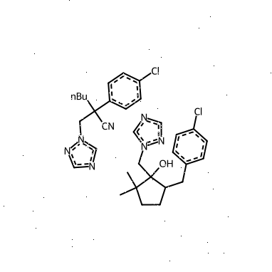 CC1(C)CCC(Cc2ccc(Cl)cc2)C1(O)Cn1cncn1.CCCCC(C#N)(Cn1cncn1)c1ccc(Cl)cc1